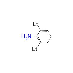 CCC1=CCCC(CC)=C1N